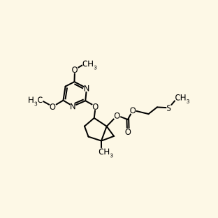 COc1cc(OC)nc(OC2CCC3(C)CC23OC(=O)OCCSC)n1